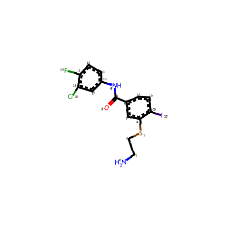 NCCSc1cc(C(=O)Nc2ccc(F)c(Cl)c2)ccc1I